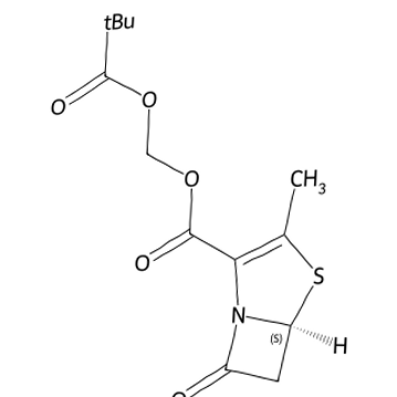 CC1=C(C(=O)OCOC(=O)C(C)(C)C)N2C(=O)C[C@@H]2S1